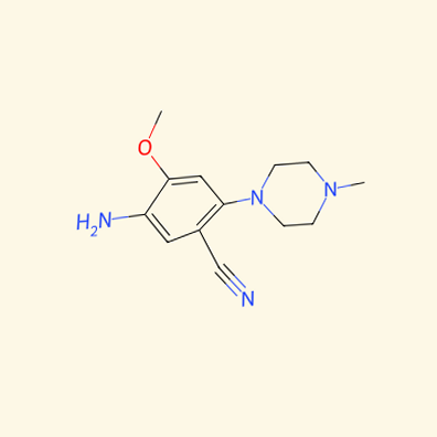 COc1cc(N2CCN(C)CC2)c(C#N)cc1N